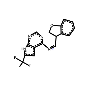 FC(F)(F)c1cc2c(/N=C\C3COc4ccccc43)ncnc2[nH]1